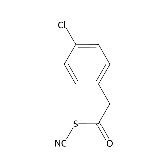 N#CSC(=O)Cc1ccc(Cl)cc1